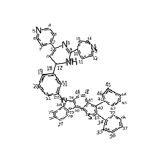 C1=C(c2ccncc2)N=C(c2ccncc2)NC1c1cccc(-n2c3ccccc3c3c4sc(-c5ccccc5)c(-c5ccccc5)c4ccc32)c1